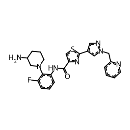 NC1CCCN(c2c(F)cccc2NC(=O)c2csc(-c3cnn(Cc4ccccn4)c3)n2)C1